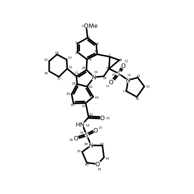 COc1ccc2c(c1)C1CC1(S(=O)(=O)N1CCCC1)Cn1c-2c(C2CCCCC2)c2ccc(C(=O)NS(=O)(=O)N3CCOCC3)cc21